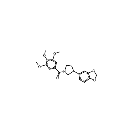 COc1cc(C(=O)N2CC[C](c3ccc4c(c3)OCO4)C2)cc(OC)c1OC